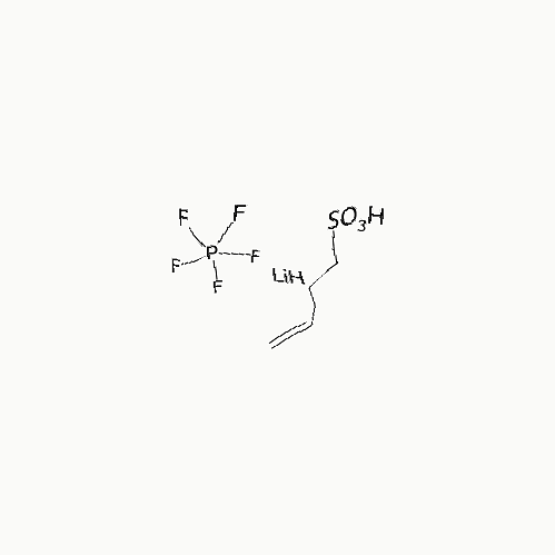 C=CCCS(=O)(=O)O.FP(F)(F)(F)F.[LiH]